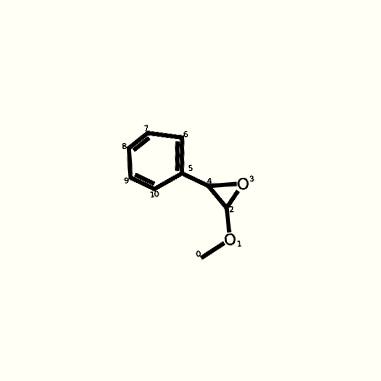 COC1OC1c1ccccc1